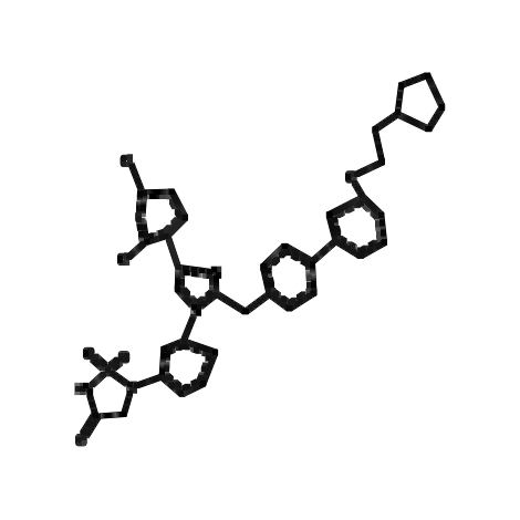 O=C1CN(c2cccc(-n3cc(-c4ccc(Cl)cc4Cl)nc3Cc3ccc(-c4cccc(OCCC5CCCC5)c4)cc3)c2)S(=O)(=O)N1